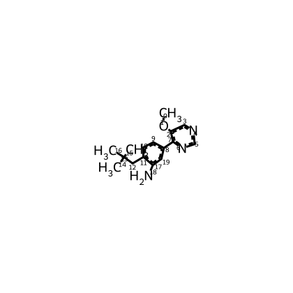 COc1cncnc1-c1ccc(CC(C)(C)C)c(N)c1